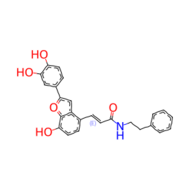 O=C(/C=C/c1ccc(O)c2oc(-c3ccc(O)c(O)c3)cc12)NCCc1ccccc1